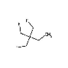 C[CH]C(CF)(CF)CF